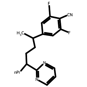 CCCC(CCC(C)c1cc(F)c(C#N)c(F)c1)c1ncccn1